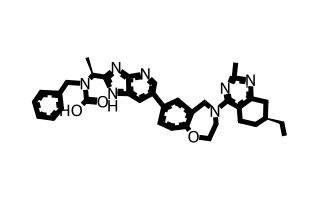 CC[C@H]1CCc2c(nc(C)nc2N2CCOc3ccc(-c4cnc5nc([C@H](C)N(Cc6ccccc6)C(=O)O)[nH]c5c4)cc3C2)C1